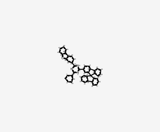 c1ccc(-c2nc(-c3ccc4c(c3)C3(c5ccccc5-c5ccccc53)c3ccccc3-4)nc(-c3ccc4c(c3)oc3ccccc34)n2)cc1